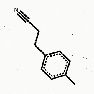 Cc1ccc(CCC#N)cc1